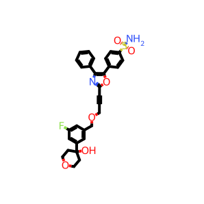 NS(=O)(=O)c1ccc(-c2oc(C#CCOCc3cc(F)cc(C4(O)CCOCC4)c3)nc2-c2ccccc2)cc1